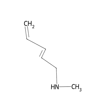 C=C/C=C/CNC